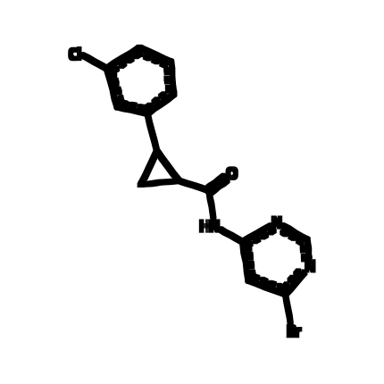 O=C(Nc1cc(Br)ncn1)C1CC1c1cccc(Cl)c1